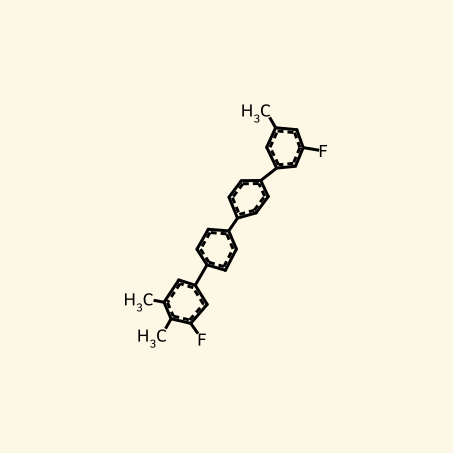 Cc1cc(F)cc(-c2ccc(-c3ccc(-c4cc(C)c(C)c(F)c4)cc3)cc2)c1